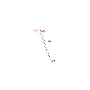 CCCCCCCCCCCCCCCCCCCCCCOC(=O)C(C)O.[Na]